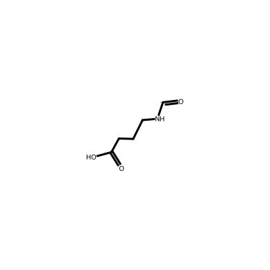 O=[C]NCCCC(=O)O